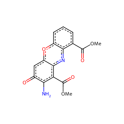 COC(=O)c1c2nc3c(C(=O)OC)cccc3oc-2cc(=O)c1N